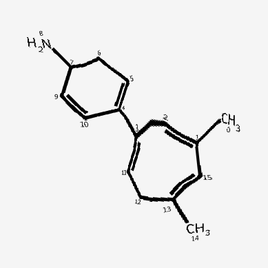 CC1=CC(C2=CCC(N)C=C2)=CCC(C)=C1